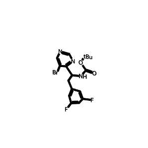 CC(C)(C)OC(=O)NC(Cc1cc(F)cc(F)c1)c1ncncc1Br